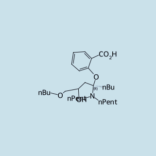 CCCCCN(CCCCC)[C@@](CCCC)(CC(O)COCCCC)Oc1ccccc1C(=O)O